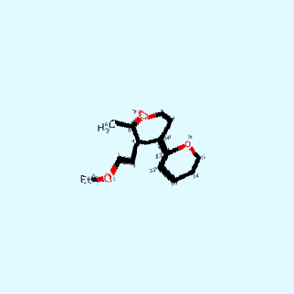 CCOCCC1[C](C)OCCC1C1CCCCO1